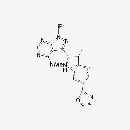 CNc1ncnc2c1c(-c1[nH]c3cc(-c4ncco4)ccc3c1C)nn2C(C)C